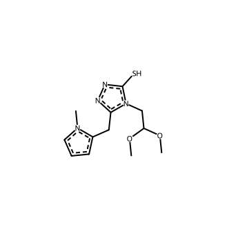 COC(Cn1c(S)nnc1Cc1cccn1C)OC